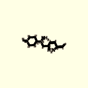 C/C=C(N)\C=C/C(C)CN(N)C1CCN(C)CC1